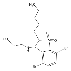 CCCCCC1C(NCCO)c2c(Br)ccc(Br)c2S1(=O)=O